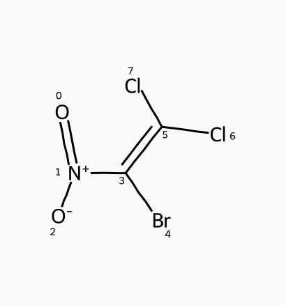 O=[N+]([O-])C(Br)=C(Cl)Cl